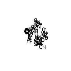 COc1nc(C)nc(NC(=O)NS(=O)(=O)c2ccccc2CCC(F)(F)F)n1.COc1nn(C(=O)NS(=O)(=O)c2c(C(=O)O)csc2C)c(=O)n1C